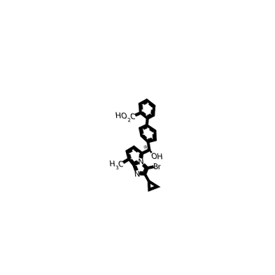 Cc1ccc([C@H](O)c2ccc(-c3ccccc3C(=O)O)cc2)n2c(Br)c(C3CC3)nc12